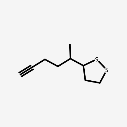 C#CCCC(C)C1CCSS1